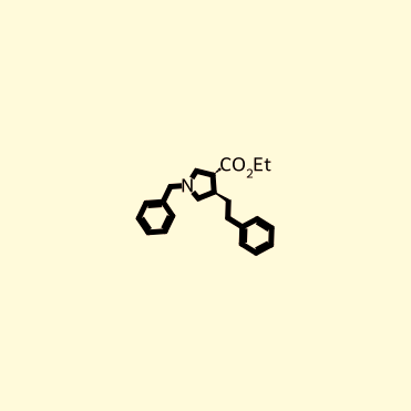 CCOC(=O)[C@H]1CN(Cc2ccccc2)C[C@@H]1CCc1ccccc1